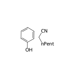 CCCCCCC#N.Oc1ccccc1